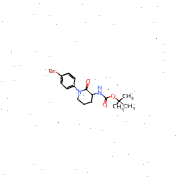 CC(C)(C)OC(=O)NC1CCCN(c2ccc(Br)cc2)C1=O